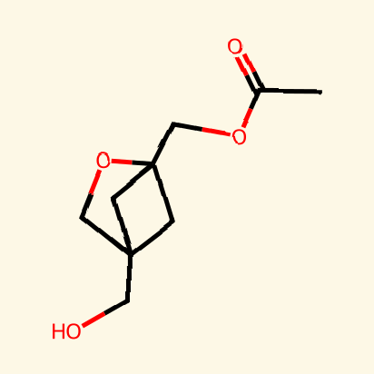 CC(=O)OCC12CC(CO)(CO1)C2